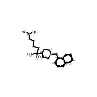 NC(CCCCB(O)O)(C(=O)O)C1CCN(Cc2cccc3ccccc23)CC1